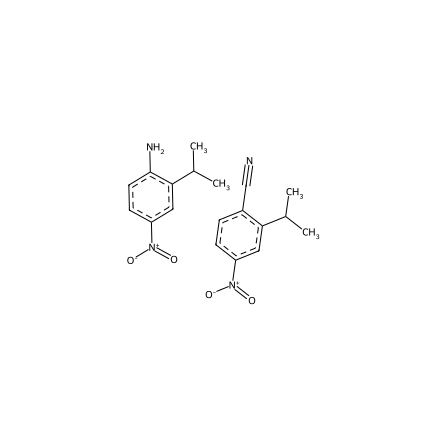 CC(C)c1cc([N+](=O)[O-])ccc1C#N.CC(C)c1cc([N+](=O)[O-])ccc1N